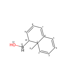 CC12C=CC=CC1=CC=CC2BO